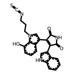 O=C1NC(=O)C(c2cn(CCCN=C=S)c3c(O)cccc23)=C1c1c[nH]c2ccccc12